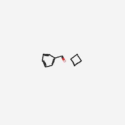 C1CCC1.O=Cc1ccccc1